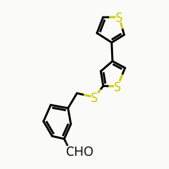 O=Cc1cccc(CSc2cc(-c3ccsc3)cs2)c1